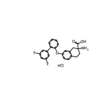 Cl.NC1(C(=O)O)CCc2ccc(Oc3ccccc3-c3cc(F)cc(F)c3)cc2C1